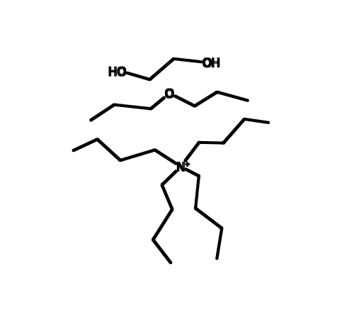 CCCC[N+](CCCC)(CCCC)CCCC.CCCOCCC.OCCO